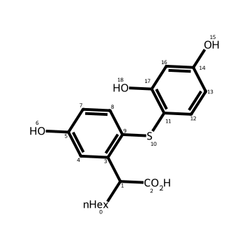 CCCCCCC(C(=O)O)c1cc(O)ccc1Sc1ccc(O)cc1O